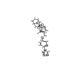 CC(C)(C)OC(=O)N1C2CCC1CC(n1ncc(COc3ccc(-n4cnnn4)nc3)n1)C2